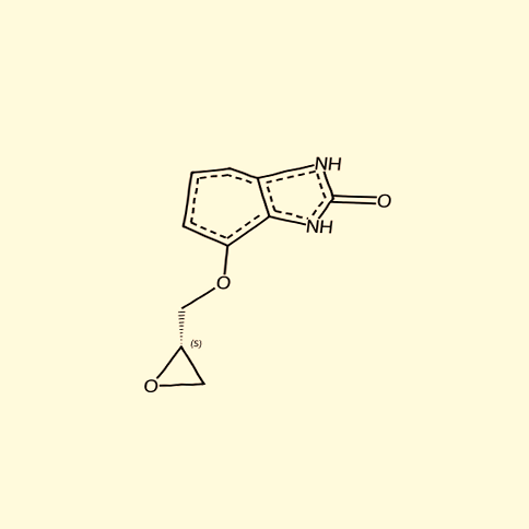 O=c1[nH]c2cccc(OC[C@@H]3CO3)c2[nH]1